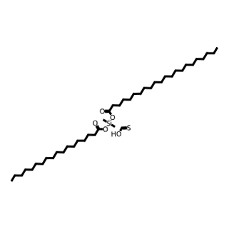 CCCCCCCCCCCCCCCCCCCCCC(=O)O[Si](C)(C)OC(=O)CCCCCCCCCCCCCCCCC.OC=S